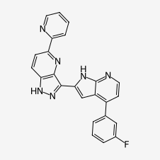 Fc1cccc(-c2ccnc3[nH]c(-c4n[nH]c5ccc(-c6ccccn6)nc45)cc23)c1